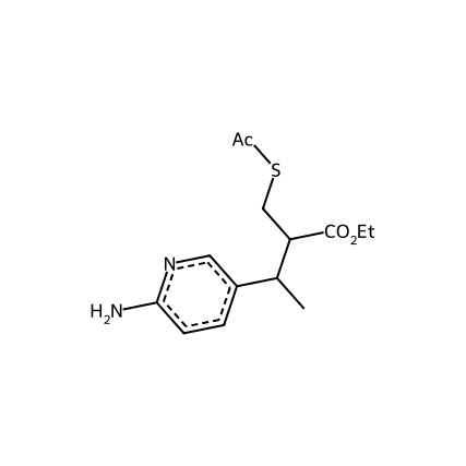 CCOC(=O)C(CSC(C)=O)C(C)c1ccc(N)nc1